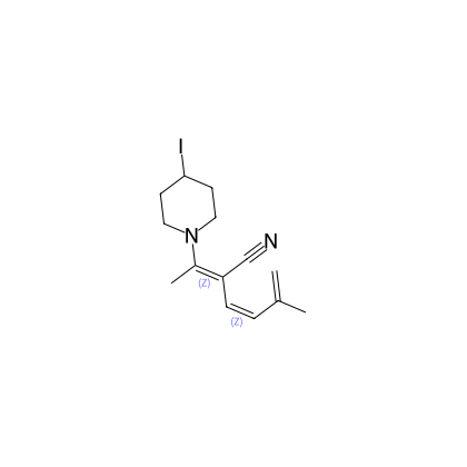 C=C(C)/C=C\C(C#N)=C(/C)N1CCC(I)CC1